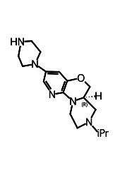 CC(C)N1CCN2c3ncc(N4CCNCC4)cc3OC[C@H]2C1